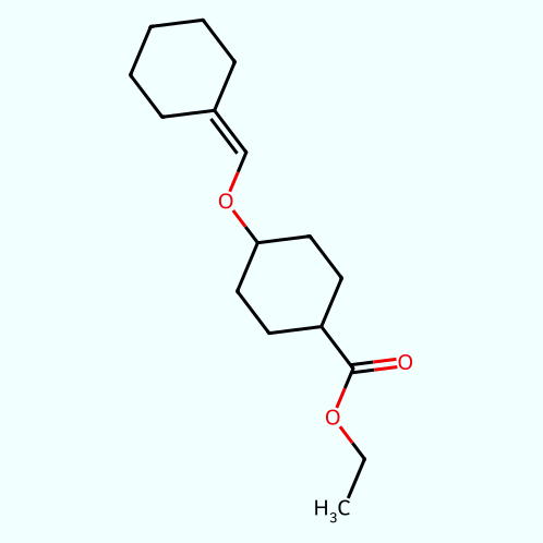 CCOC(=O)C1CCC(OC=C2CCCCC2)CC1